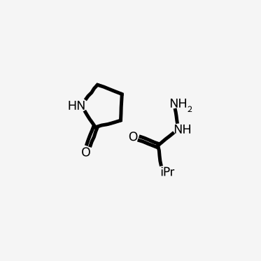 CC(C)C(=O)NN.O=C1CCCN1